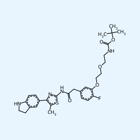 Cc1sc(NC(=O)Cc2ccc(F)c(OCCOCCNC(=O)OC(C)(C)C)c2)nc1-c1ccc2c(c1)CCN2